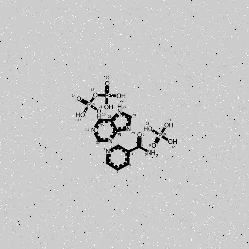 NC(=O)c1cccnc1.O=P(O)(O)O.O=P(O)(O)OP(=O)(O)O.c1ncc2[nH]cnc2n1